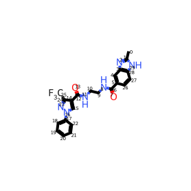 Cc1nc2cc(C(=O)NCCNC(=O)c3cn(-c4ccccc4)nc3C(F)(F)F)ccc2[nH]1